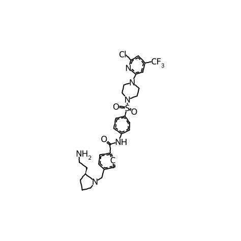 NCC[C@@H]1CCCN1Cc1ccc(C(=O)Nc2ccc(S(=O)(=O)N3CCN(c4cc(C(F)(F)F)cc(Cl)n4)CC3)cc2)cc1